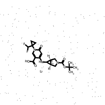 CC(C)(C)OC(=O)N1C[C@@H]2C(Nc3cc(=O)n(C4(C(F)F)CC4)cc3C(=O)O)[C@@H]2C1.[Li]